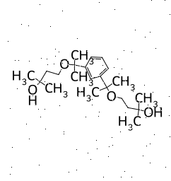 CC(C)(O)CCOC(C)(C)c1cccc(C(C)(C)OCCC(C)(C)O)c1